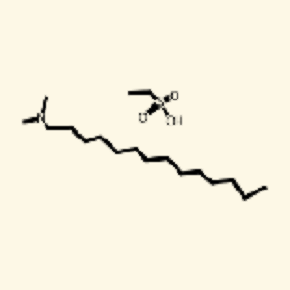 CCCCCCCCCCCCCCN(C)C.CCS(=O)(=O)O